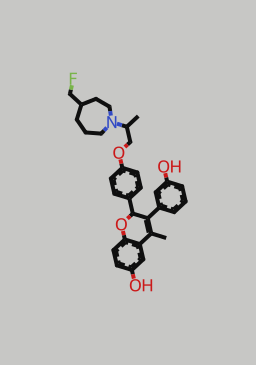 CC1=C(c2cccc(O)c2)C(c2ccc(OCC(C)N3CCCC(CF)CC3)cc2)Oc2ccc(O)cc21